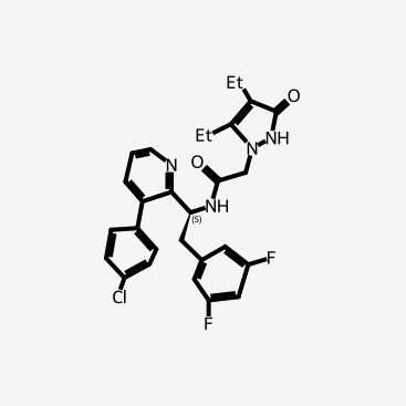 CCc1c(CC)n(CC(=O)N[C@@H](Cc2cc(F)cc(F)c2)c2ncccc2-c2ccc(Cl)cc2)[nH]c1=O